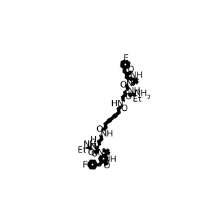 CC[C@H](N)C(=O)N[C@@H](CCCCNC(=O)CCC#CC#CCCC(=O)NCCCC[C@H](NC(=O)[C@@H](N)CC)C(=O)N1CC(C)(C)c2[nH]c(=O)c(Cc3ccc(F)cc3)cc21)C(=O)N1CC(C)(C)c2[nH]c(=O)c(Cc3ccc(F)cc3)cc21